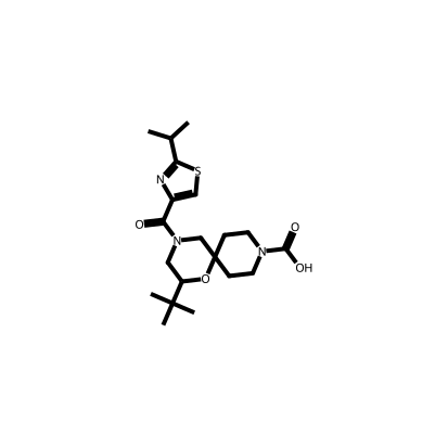 CC(C)c1nc(C(=O)N2CC(C(C)(C)C)OC3(CCN(C(=O)O)CC3)C2)cs1